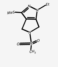 CCn1nc(SC)c2c1CN(S(C)(=O)=O)C2